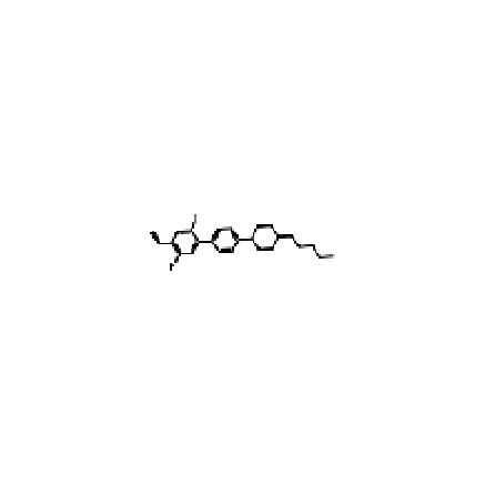 C=Cc1cc(F)c(-c2ccc(C3CCC(CCCCC)CC3)cc2)cc1F